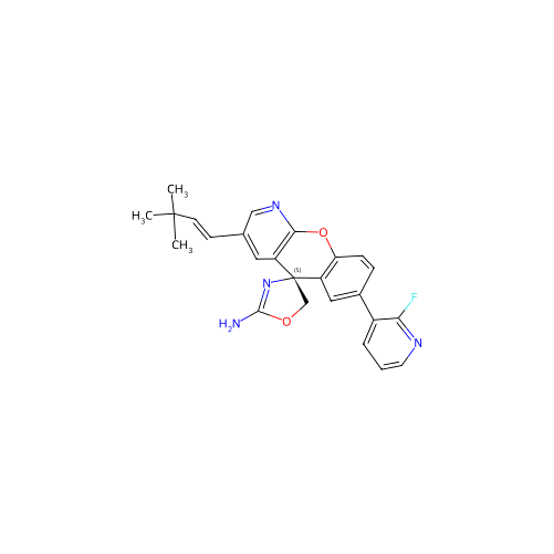 CC(C)(C)C=Cc1cnc2c(c1)[C@]1(COC(N)=N1)c1cc(-c3cccnc3F)ccc1O2